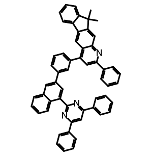 CC1(C)c2ccccc2-c2cc3c(-c4cccc(-c5cc(-c6nc(-c7ccccc7)cc(-c7ccccc7)n6)c6ccccc6c5)c4)cc(-c4ccccc4)nc3cc21